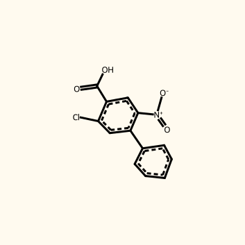 O=C(O)c1cc([N+](=O)[O-])c(-c2ccccc2)cc1Cl